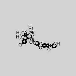 Cc1sc2c(c1C)C(c1ccc(Cl)cc1)=N[C@@H](CC(=O)N1CCC3(CC1)COc1cc4c(cc1O3)CN(C1CCCNC1)C4=O)c1nnc(C)n1-2